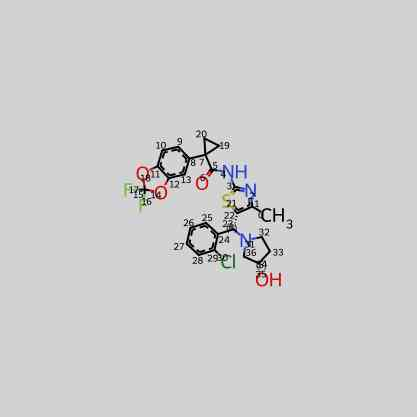 Cc1nc(NC(=O)C2(c3ccc4c(c3)OC(F)(F)O4)CC2)sc1[C@@H](c1ccccc1Cl)N1CC[C@H](O)C1